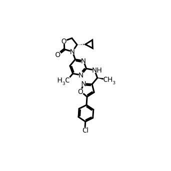 Cc1cc(N2C(=O)OC[C@@H]2C2CC2)nc(N[C@@H](C)c2cc(-c3ccc(Cl)cc3)on2)n1